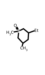 CCC1CC(C)CP(C)(=O)C1